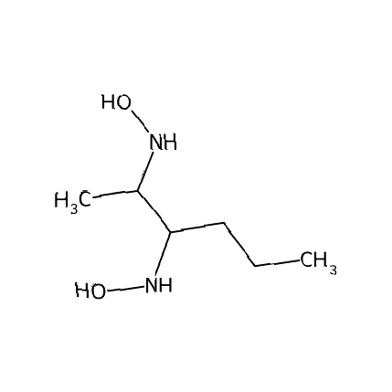 CCCC(NO)C(C)NO